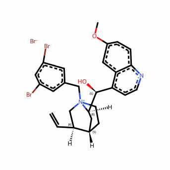 C=C[C@H]1C[N+]2(Cc3cc(Br)cc(Br)c3)CC[C@H]1C[C@@H]2[C@@H](O)c1ccnc2ccc(OC)cc12.[Br-]